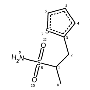 CC(Cc1cccs1)S(N)(=O)=O